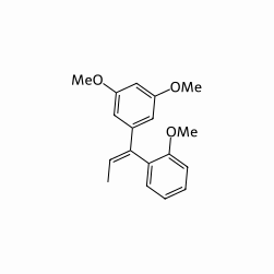 CC=C(c1cc(OC)cc(OC)c1)c1ccccc1OC